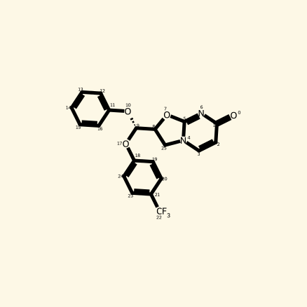 O=c1ccn2c(n1)OC([C@@H](Oc1ccccc1)Oc1ccc(C(F)(F)F)cc1)C2